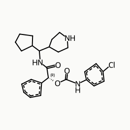 O=C(Nc1ccc(Cl)cc1)O[C@@H](C(=O)NC(C1CCCC1)C1CCNCC1)c1ccccc1